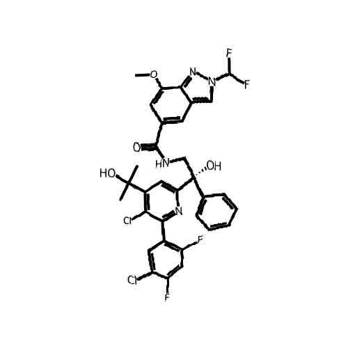 COc1cc(C(=O)NC[C@@](O)(c2ccccc2)c2cc(C(C)(C)O)c(Cl)c(-c3cc(Cl)c(F)cc3F)n2)cc2cn(C(F)F)nc12